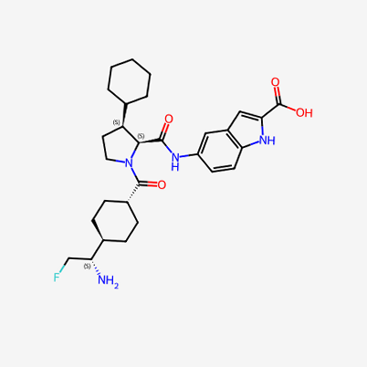 N[C@H](CF)[C@H]1CC[C@H](C(=O)N2CC[C@@H](C3CCCCC3)[C@H]2C(=O)Nc2ccc3[nH]c(C(=O)O)cc3c2)CC1